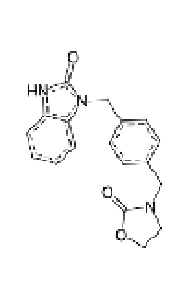 O=C1OCCN1Cc1ccc(Cn2c(=O)[nH]c3ccccc32)cc1